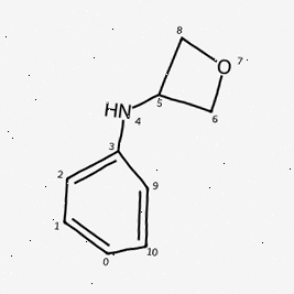 [c]1ccc(NC2COC2)cc1